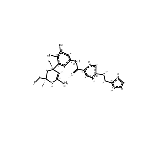 C[C@]1(CF)C[C@@](C)(c2cc(NC(=O)c3cnc(OCc4ncco4)cn3)cc(F)c2F)N=C(N)S1